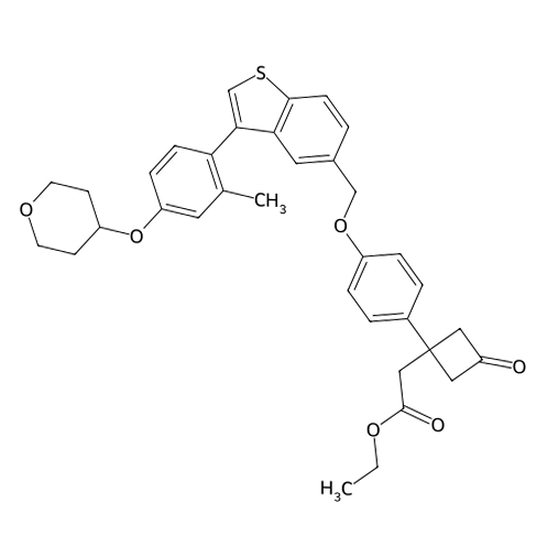 CCOC(=O)CC1(c2ccc(OCc3ccc4scc(-c5ccc(OC6CCOCC6)cc5C)c4c3)cc2)CC(=O)C1